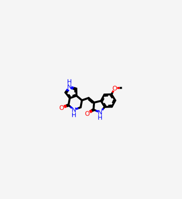 COc1ccc2c(c1)C(=CC1CNC(=O)c3c[nH]cc31)C(=O)N2